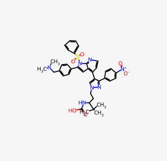 CN(C)Cc1ccc(-c2cc3c(-c4cn(CCC(NC(=O)O)C(C)(C)C)nc4-c4ccc([N+](=O)[O-])cc4)ccnc3n2S(=O)(=O)c2ccccc2)cc1